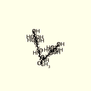 CC(=O)[C@H](CCCCNC(=O)CCCCOC(O)C(O)C(O)C(O)CCO)NC(=O)CCCCOC(O)C(O)[C@H](O)C(O)CCO